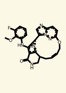 COc1c(F)cccc1Nc1c2[nH]c3c1C(=O)NCC3C/C=C\COc1ccc3ncc-2n3n1